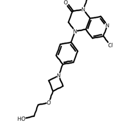 CN1C(=O)CN(c2ccc(N3CC(OCCO)C3)cc2)c2cc(Cl)ncc21